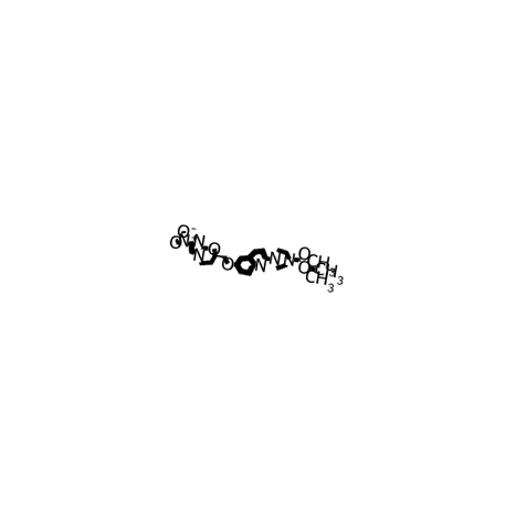 CC(C)(C)OC(=O)N1CCN(c2ccc3cc(OC[C@H]4CCn5cc([N+](=O)[O-])nc5O4)ccc3n2)CC1